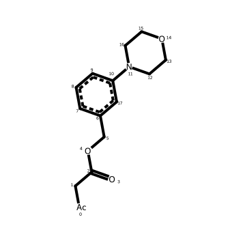 CC(=O)CC(=O)OCc1cccc(N2CCOCC2)c1